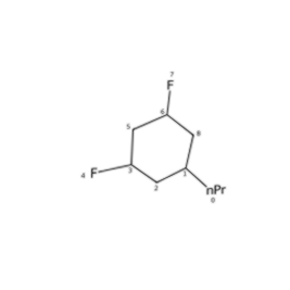 CCCC1CC(F)CC(F)C1